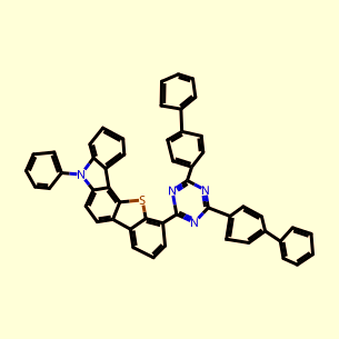 c1ccc(-c2ccc(-c3nc(-c4ccc(-c5ccccc5)cc4)nc(-c4cccc5c4sc4c5ccc5c4c4ccccc4n5-c4ccccc4)n3)cc2)cc1